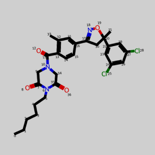 CCCCCCN1C(=O)CN(C(=O)c2ccc(C3=NOC(C)(c4cc(Cl)cc(Cl)c4)C3)cc2C)CC1=O